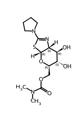 CN(C)C(=O)OC[C@H]1O[C@@H]2SC(N3CCCC3)=N[C@@H]2[C@@H](O)[C@@H]1O